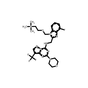 C[Si](C)(C)CCOCn1c(CNc2nc(N3CCOCC3)nc3c(C(F)(F)F)cnn23)nc2c(F)cccc21